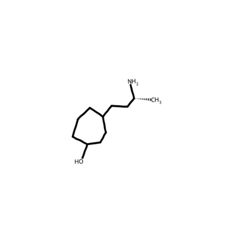 C[C@@H](N)CCC1CCCC(O)CC1